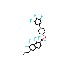 CCCc1cc2ccc(C(F)(F)OC3CCC(c4cc(F)c(F)c(F)c4)CC3)c(F)c2c(F)c1F